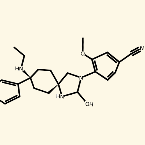 CCN[C@]1(c2ccccc2)CC[C@@]2(CC1)CN(c1ccc(C#N)cc1OC)C(O)N2